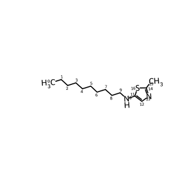 CCCCCCCCCCNc1cnc(C)s1